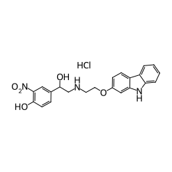 Cl.O=[N+]([O-])c1cc(C(O)CNCCOc2ccc3c(c2)[nH]c2ccccc23)ccc1O